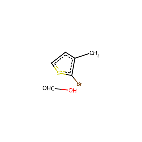 Cc1ccsc1Br.O=CO